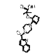 CC(C)(Oc1ccccc1N1CCN(C(=O)c2ccc3ccccc3n2)CC1)C(=O)O